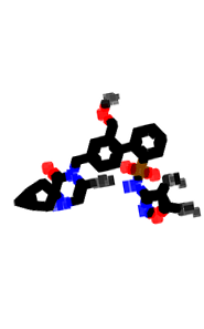 CCCCC1=CNC2(CC3CC3C2)C(=O)N1Cc1ccc(-c2ccccc2S(=O)(=O)Nc2noc(C)c2C)c(COC(C)C)c1